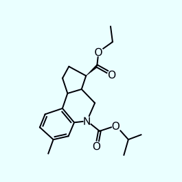 CCOC(=O)[C@@H]1CCC2c3ccc(C)cc3N(C(=O)OC(C)C)CC21